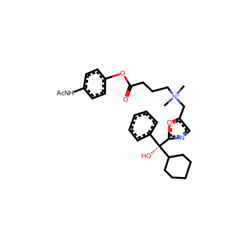 CC(=O)Nc1ccc(OC(=O)CCC[N+](C)(C)Cc2cnc([C@](O)(c3ccccc3)C3CCCCC3)o2)cc1